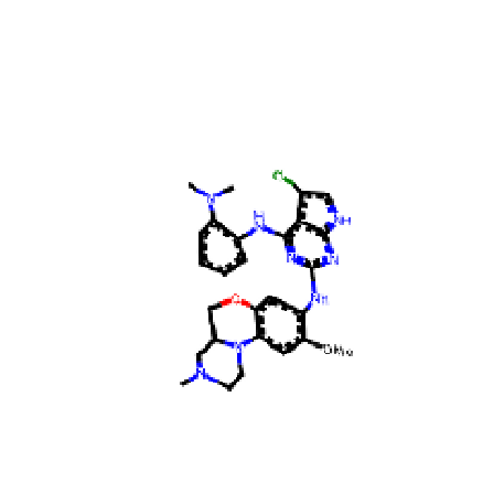 COc1cc2c(cc1Nc1nc(Nc3ccccc3N(C)C)c3c(Cl)c[nH]c3n1)OCC1CN(C)CCN21